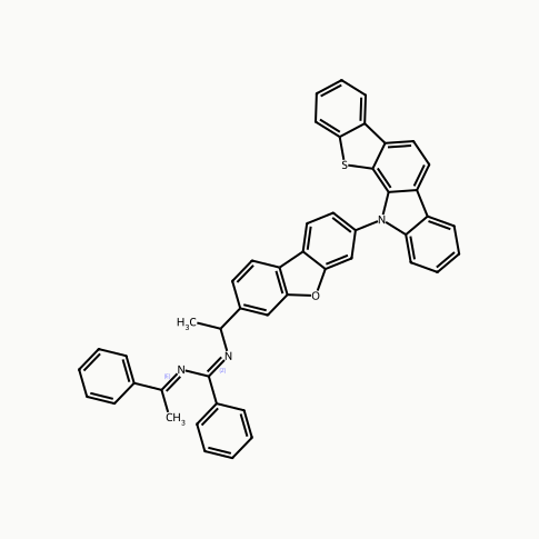 C/C(=N\C(=N/C(C)c1ccc2c(c1)oc1cc(-n3c4ccccc4c4ccc5c6ccccc6sc5c43)ccc12)c1ccccc1)c1ccccc1